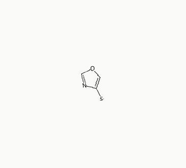 [S]c1cocn1